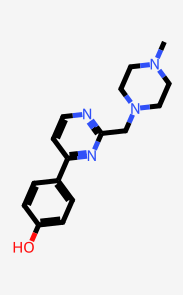 CN1CCN(Cc2nccc(-c3ccc(O)cc3)n2)CC1